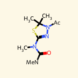 CNC(=O)N(C)C1=NN(C(C)=O)C(C)(C)S1